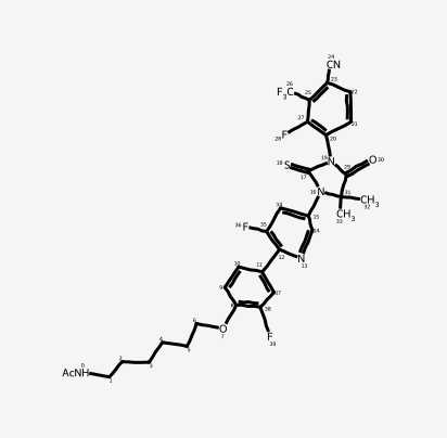 CC(=O)NCCCCCCOc1ccc(-c2ncc(N3C(=S)N(c4ccc(C#N)c(C(F)(F)F)c4F)C(=O)C3(C)C)cc2F)cc1F